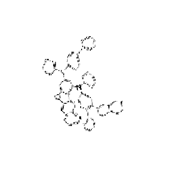 c1ccc(-c2ccc(N(c3ccccc3)c3cc(N(c4ccccc4)c4ccc(-c5ccccc5)c(-c5ccc6ccccc6c5)c4)c4c(c3)oc3cc5ccccc5cc34)cc2)cc1